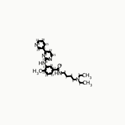 CCN(CC)CCCCNC(=O)c1ccc(C)c(Nc2nccc(-c3cccnc3)n2)c1